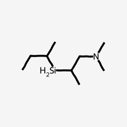 CCC(C)[SiH2]C(C)CN(C)C